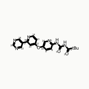 CC(C)(C)C(=O)NC(=O)Nc1ccc(Oc2ccnc(-c3cncnc3)c2)cn1